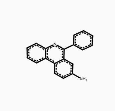 Nc1ccc2c(c1)c(-c1ccccc1)nc1ccccc12